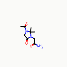 CC(=O)N1CC(=O)N(CC(N)=O)C1(C)C